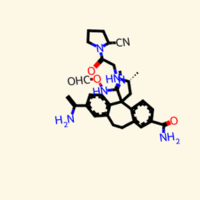 C=C(N)c1ccc2c(c1)CCc1cc(C(N)=O)ccc1C2(C[C@@H](C)NCC(=O)N1CCCC1C#N)/C(=N/C)NOC=O